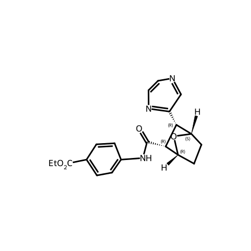 CCOC(=O)c1ccc(NC(=O)[C@@H]2[C@H](c3cnccn3)[C@@H]3CC[C@H]2O3)cc1